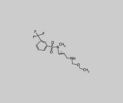 CCOCNC/C=C/N(C)S(=O)(=O)c1cccc(C(F)(F)F)c1